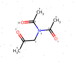 CC(=O)CN(C(C)=O)C(C)=O